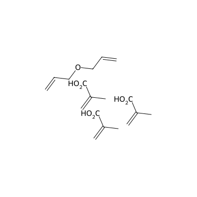 C=C(C)C(=O)O.C=C(C)C(=O)O.C=C(C)C(=O)O.C=CCOCC=C